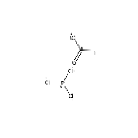 CC(=O)O.ClP(Cl)Cl